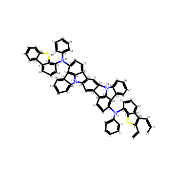 C=Cc1sc2c(N(c3ccccc3)c3ccc4c5cc6c(cc5n5c7ccccc7c3c45)c3ccc(N(c4ccccc4)c4cccc5c4sc4ccccc45)c4c5ccccc5n6c34)cccc2c1/C=C\C